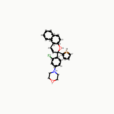 Fc1cc(N2CCOCC2)ccc1C1(c2cccs2)C=Cc2c(ccc3ccccc23)O1